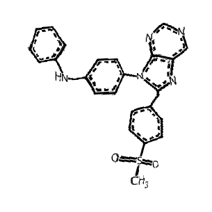 CS(=O)(=O)c1ccc(-c2nc3cncnc3n2-c2ccc(Nc3ccccc3)cc2)cc1